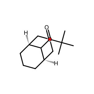 CC(C)(C)C(=O)C1[C@@H]2CCC[C@H]1COC2